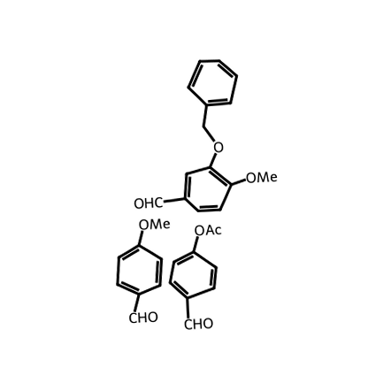 CC(=O)Oc1ccc(C=O)cc1.COc1ccc(C=O)cc1.COc1ccc(C=O)cc1OCc1ccccc1